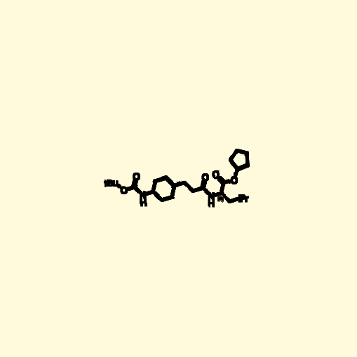 CC(C)C[C@@H](NC(=O)CCC1CCC(NC(=O)OC(C)(C)C)CC1)C(=O)OC1CCCC1